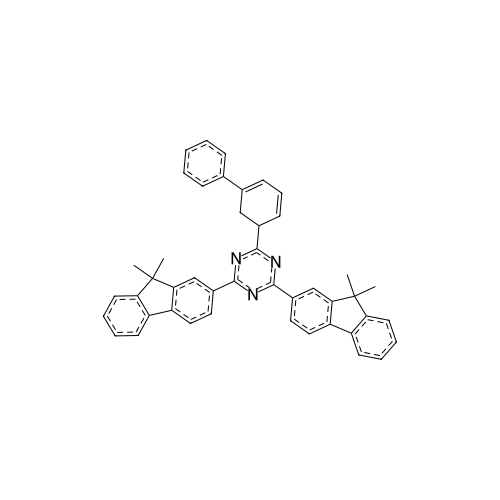 CC1(C)c2ccccc2-c2ccc(-c3nc(-c4ccc5c(c4)C(C)(C)c4ccccc4-5)nc(C4C=CC=C(c5ccccc5)C4)n3)cc21